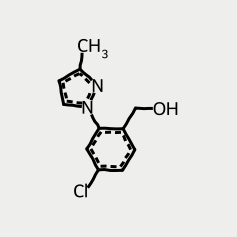 Cc1ccn(-c2cc(Cl)ccc2CO)n1